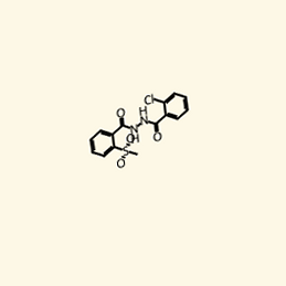 CS(=O)(=O)c1ccccc1C(=O)NNC(=O)c1ccccc1Cl